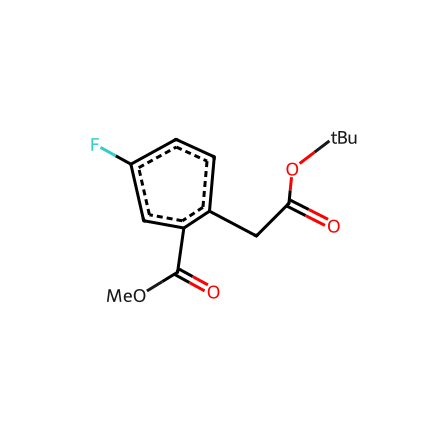 COC(=O)c1cc(F)ccc1CC(=O)OC(C)(C)C